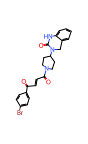 O=C(C=CC(=O)N1CCC(N2Cc3ccccc3NC2=O)CC1)c1ccc(Br)cc1